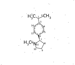 CC(C)c1ccc([C@H]2CCCN2C)cc1